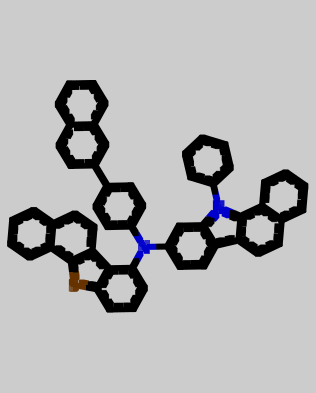 c1ccc(-n2c3cc(N(c4ccc(-c5ccc6ccccc6c5)cc4)c4cccc5sc6c7ccccc7ccc6c45)ccc3c3ccc4ccccc4c32)cc1